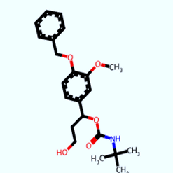 COc1cc(C(CCO)OC(=O)NC(C)(C)C)ccc1OCc1ccccc1